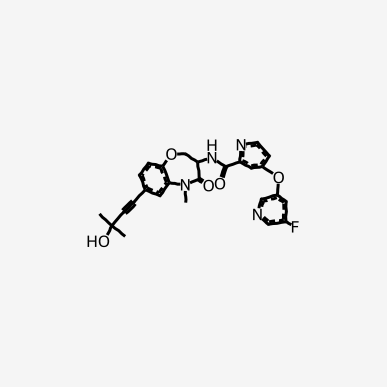 CN1C(=O)C(NC(=O)c2cc(Oc3cncc(F)c3)ccn2)COc2ccc(C#CC(C)(C)O)cc21